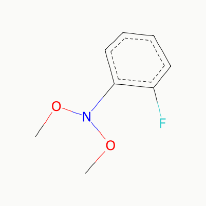 CON(OC)c1ccccc1F